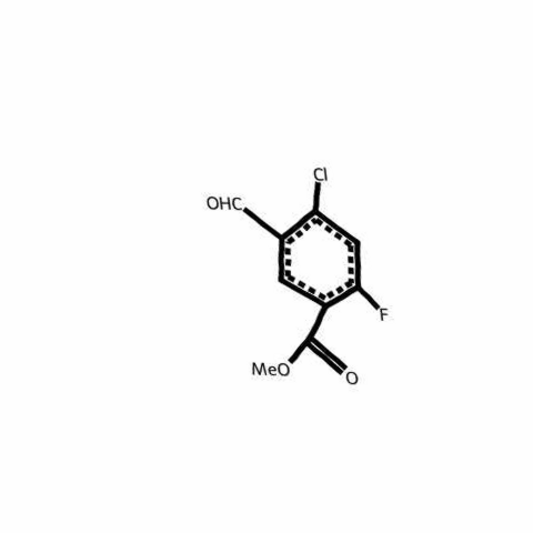 COC(=O)c1cc(C=O)c(Cl)cc1F